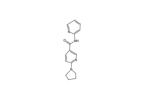 O=C(Nc1ccccn1)c1ccc(N2CCCC2)nc1